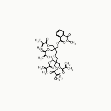 C=C(C)C(=O)OCC(COCC(COC(=O)C(=C)C)(COC(=O)C(=C)C)COC(=O)c1ccccc1C(=O)OC)(COC(=O)C(=C)C)COC(=O)C(=C)C